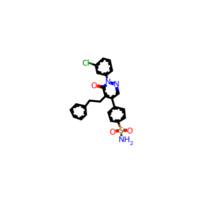 NS(=O)(=O)c1ccc(-c2cnn(-c3cccc(Cl)c3)c(=O)c2CCc2ccccc2)cc1